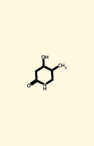 CC1CNC(=O)CC1O